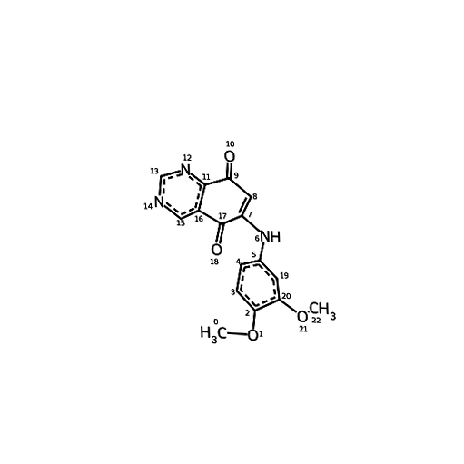 COc1ccc(NC2=CC(=O)c3ncncc3C2=O)cc1OC